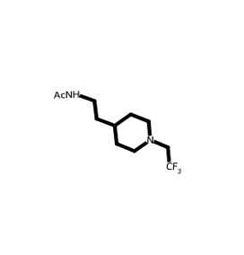 CC(=O)NCCC1CCN(CC(F)(F)F)CC1